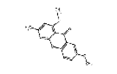 COc1ccc2oc3cc(C)cc(OC)c3c(=O)c2c1